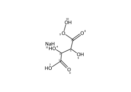 O=C(O)C(O)C(O)C(=O)OO.[NaH]